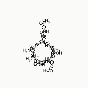 COC(=O)[C@H]1CC[C@H](NC(=O)c2csc(-c3ccc4c(n3)-c3csc(n3)-c3csc(n3)[C@@H]3[C@@H](C)[C@@H](O)CN3C(=O)[C@H](Cc3ccc(OCC(=O)O)cc3)NC(=O)c3csc(n3)[C@H]([C@H](O)c3ccccc3)NC(=O)c3nc(sc3C)[C@H](CC(N)=O)NC(=O)c3csc-4n3)n2)CC1